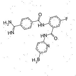 Bc1ccc(NC(=O)c2cc(F)ccc2NC(=O)c2ccc(C(=N)N)cc2)nc1